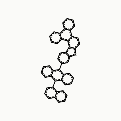 c1ccc2c(-c3c4ccccc4c(-c4ccc5c(c4)sc4ccc6c7ccccc7c7ccccc7c6c45)c4ccccc34)cccc2c1